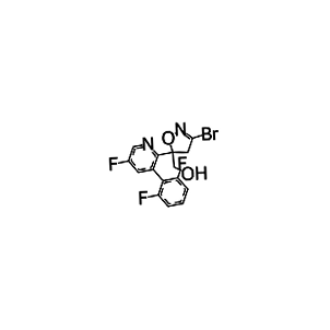 OCC1(c2ncc(F)cc2-c2c(F)cccc2F)CC(Br)=NO1